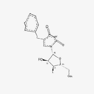 O=c1[nH]c(=O)n([C@@H]2O[C@H](CO)[C@@H](I)[C@H]2O)cc1Cc1ccccc1